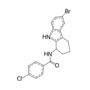 O=C(NC1CCCc2c1[nH]c1ccc(Br)cc21)c1ccc(Cl)cc1